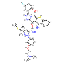 CSC(C)(C)c1cc(NC(=O)NCc2ccccc2Sc2ccc3nnc(-c4cc(F)ccc4O)n3c2)n(-c2cccc(OCCN(C)C)c2)n1